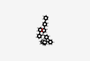 c1ccc(-c2ccc(-c3ccc(N(c4ccc5c(c4)C4(c6ccccc6-5)C5CC6CC(C5)CC4C6)c4ccccc4-c4ccccc4)cc3)cc2)cc1